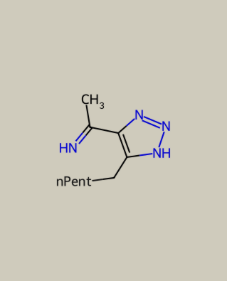 CCCCCCc1[nH]nnc1C(C)=N